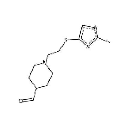 Cc1ncc(SCCN2CCC(C=O)CC2)s1